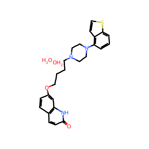 O.O.O=c1ccc2ccc(OCCCCN3CCN(c4cccc5sccc45)CC3)cc2[nH]1